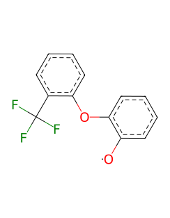 [O]c1ccccc1Oc1ccccc1C(F)(F)F